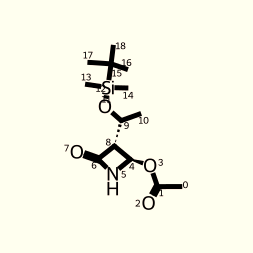 CC(=O)O[C@H]1NC(=O)[C@@H]1C(C)O[Si](C)(C)C(C)(C)C